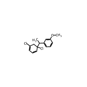 COc1cccc(C(C)C2(Cl)[CH]C(Cl)=CC=C2)c1